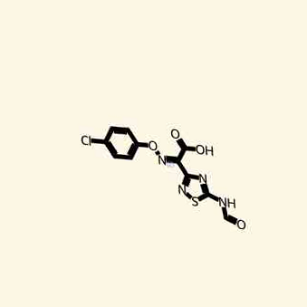 O=CNc1nc(/C(=N/Oc2ccc(Cl)cc2)C(=O)O)ns1